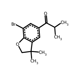 CC(C)C(=O)c1cc(Br)c2c(c1)C(C)(C)CO2